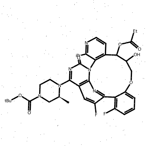 CCC(=O)OC1c2ccnc(C(C)C)c2-n2c(=O)nc(N3CCN(C(=O)OC(C)(C)C)C[C@@H]3C)c3cc(F)c(nc32)-c2c(F)cccc2OCC1O